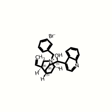 C=C[C@H]1C[N+]2(Cc3ccccc3)CC[C@H]1C[C@@H]2[C@@H](O)c1ccnc2ccccc12.[Br-]